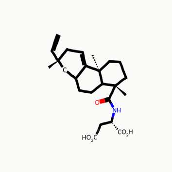 C=C[C@]1(C)CC=C2C(CCC3[C@@](C)(C(=O)N[C@@H](CC(=O)O)C(=O)O)CCC[C@]23C)C1